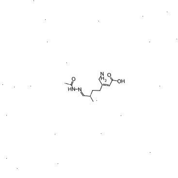 CC(=O)N/N=C/C(C)CC/C(=C/C(=O)O)CN